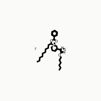 CCCCCCCCCC(OC(=O)c1ccccc1)[N+]1(C)CCC=C(c2nsnc2OCCCCCC)C1.[I-]